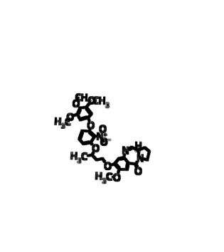 COc1cc2c(cc1OCCC(C)Oc1cccc(Oc3cc(OC)c(OC)c(OC)c3)c1[N+](=O)[O-])N=C[C@@H]1CCCN1C2=O